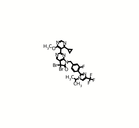 COc1ncnc(C2CC2)c1-c1ncc2c(n1)N(Cc1ccc(-c3nc(C(F)(F)F)cn3C(C)C)c(F)c1)C(=O)C2(Br)Br